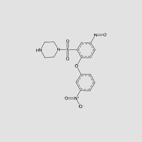 O=Nc1ccc(Oc2cccc([N+](=O)[O-])c2)c(S(=O)(=O)N2CCNCC2)c1